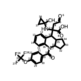 CC1(NC(CC=O)(C(=O)O)C2c3ccccc3N(C(=O)c3ccc(OC(F)(F)F)cc3)C3CCCC32)CC1